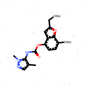 COCc1cc2c(OC(=O)Nc3c(C)cnn3C)ccc(OC)c2o1